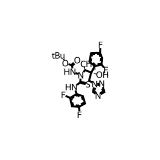 C[C@@H](N(NC(=O)OC(C)(C)C)C(=S)Nc1ccc(F)cc1F)[C@](O)(Cn1cncn1)c1ccc(F)cc1F